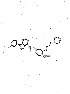 COc1ccc(CNc2ncnc3c2cnn3-c2cccc(C)c2)cc1OCCCN1CCOCC1